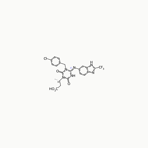 C[C@@H](CC(=O)O)n1c(=O)[nH]/c(=N\c2ccc3nc(C(F)(F)F)[nH]c3c2)n(Cc2ccc(Cl)cc2)c1=O